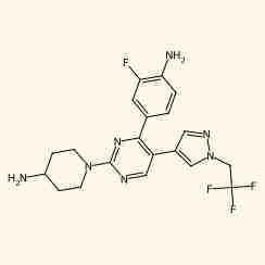 Nc1ccc(-c2nc(N3CCC(N)CC3)ncc2-c2cnn(CC(F)(F)F)c2)cc1F